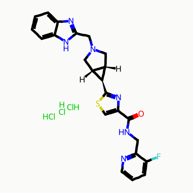 Cl.Cl.Cl.O=C(NCc1ncccc1F)c1csc([C@H]2[C@@H]3CN(Cc4nc5ccccc5[nH]4)C[C@@H]32)n1